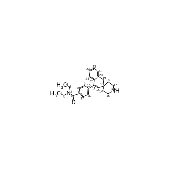 CCN(CC)C(=O)c1ccc(C2=CC3(CCNCC3)Cc3ccccc32)cc1